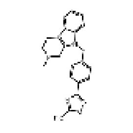 CN1CCc2c(n(Cc3ccc(-c4noc(C(F)(F)F)n4)cc3)c3ccccc23)C1